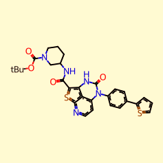 CC(C)(C)OC(=O)N1CCCC(NC(=O)c2sc3nccc4c3c2NC(=O)N4c2ccc(-c3cccs3)cc2)C1